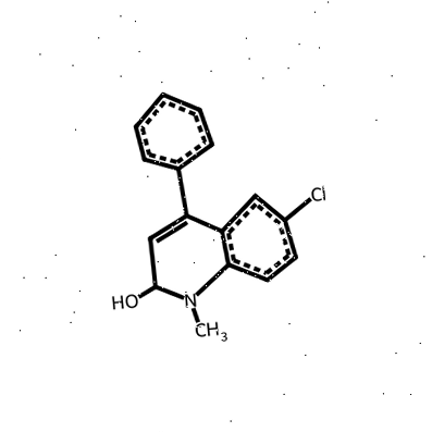 CN1c2ccc(Cl)cc2C(c2ccccc2)=CC1O